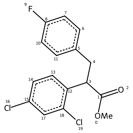 COC(=O)C(Cc1ccc(F)cc1)c1ccc(Cl)cc1Cl